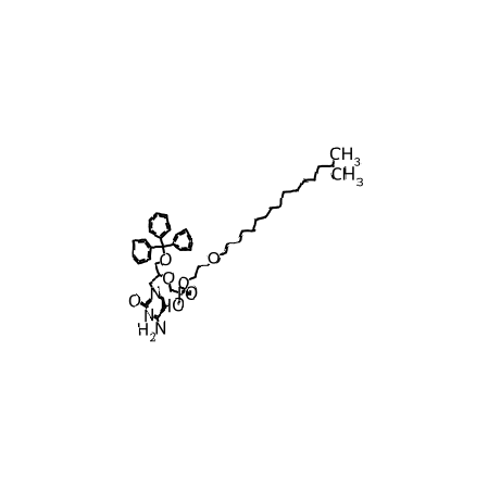 CC(C)CCCCCCCCCCCCCCOCCCOP(=O)(O)COC(COC(c1ccccc1)(c1ccccc1)c1ccccc1)Cn1ccc(N)nc1=O